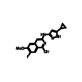 COc1cc2cc(Nc3cc(C4CC4)[nH]n3)nc(O)c2cc1F